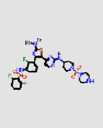 CCN(CC)c1nc(-c2cccc(NS(=O)(=O)c3c(F)cccc3F)c2F)c(-c2ccnc(NC3CCN(S(=O)(=O)N4CCNCC4)CC3)n2)s1